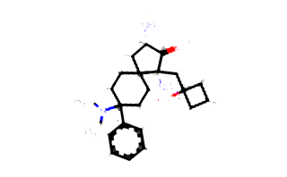 CN(C)C1(c2ccccc2)CCC2(CC1)C[C@H](N)C(=O)[C@@]2(N)CC1(O)CCC1